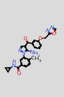 Cc1ccc(C(=O)NC2CC2)cc1-n1ncc(C(=O)c2cccc(OCc3nnco3)c2)c1N